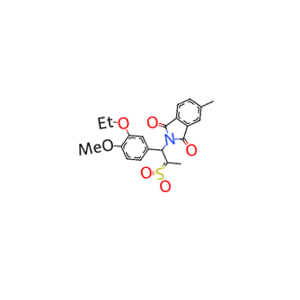 CCOc1cc(C(C(C)=S(=O)=O)N2C(=O)c3ccc(C)cc3C2=O)ccc1OC